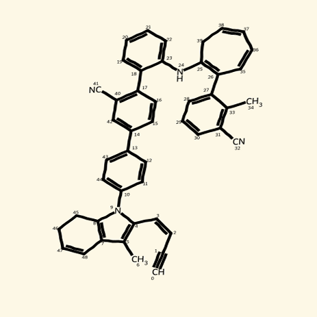 C#C/C=C\c1c(C)c2c(n1-c1ccc(-c3ccc(-c4ccccc4NC4=C(c5cccc(C#N)c5C)C=CC=CC4)c(C#N)c3)cc1)CCC=C2